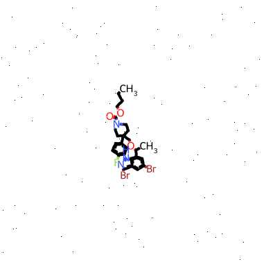 CCCCOC(=O)N1CCC(COC(C)c2cc(Br)cc3c(Br)n[nH]c23)(c2ccc(F)cc2)CC1